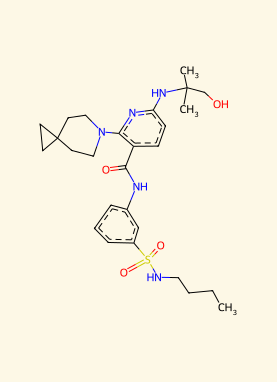 CCCCNS(=O)(=O)c1cccc(NC(=O)c2ccc(NC(C)(C)CO)nc2N2CCC3(CC2)CC3)c1